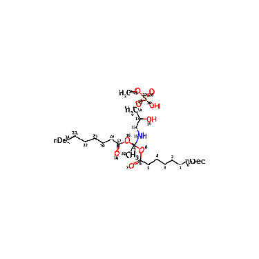 CCCCCCCCCCCCCCCC(=O)OC(C)(NCC(C)O)OC(=O)CCCCCCCCCCCCCCC.COS(=O)(=O)O